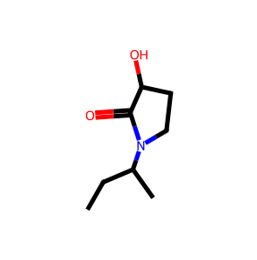 CCC(C)N1CCC(O)C1=O